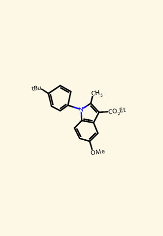 CCOC(=O)c1c(C)n(-c2ccc(C(C)(C)C)cc2)c2ccc(OC)cc12